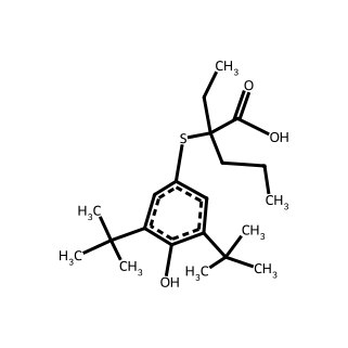 CCCC(CC)(Sc1cc(C(C)(C)C)c(O)c(C(C)(C)C)c1)C(=O)O